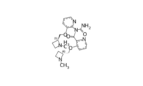 CN1CC[C@@H]1COc1cccnc1C(=O)N(C(N)=O)c1ncccc1OC[C@@H]1CCN1C